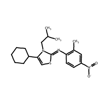 Cc1cc([N+](=O)[O-])ccc1N=c1scc(C2CCCCC2)n1CC(C)C